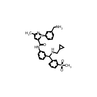 Cc1cc(C(=O)Nc2cccc(C(NCC3CC3)c3cccc(S(C)(=O)=O)c3)c2)n(-c2cccc(CN)c2)n1